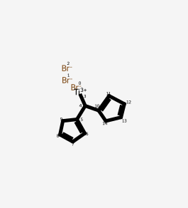 [Br-].[Br-].[Br-].[Ti+3][CH](C1=CC=CC1)C1=CC=CC1